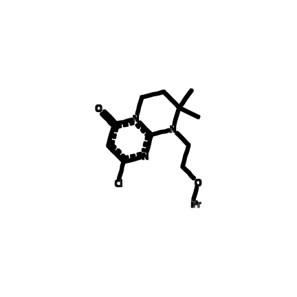 CC(C)OCCN1c2nc(Cl)cc(=O)n2CCC1(C)C